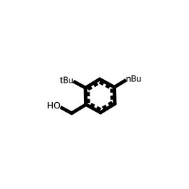 CCCCc1ccc(CO)c(C(C)(C)C)c1